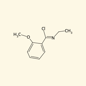 CCN=C(Cl)c1ccccc1OC